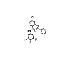 Fc1cc(Nc2nc(-c3cccnc3)nc3cc(Cl)ccc23)cc(F)c1F